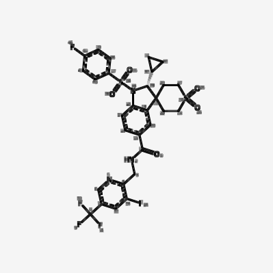 O=C(NCc1ncc(C(F)(F)F)cc1F)c1ccc2c(c1)C1(CCS(=O)(=O)CC1)[C@@H](C1CC1)N2S(=O)(=O)c1ccc(F)cc1